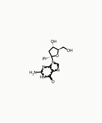 CC(C)[C@]1(n2cnc3c(=O)[nH]c(N)nc32)C[C@H](O)[C@@H](CO)O1